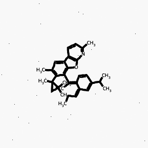 CC/C=c1/cc(C(C)C)cc/c1=C(/C)c1c(C2(C)CC2(C)C)c(C)cc2c1oc1nc(C)ccc12